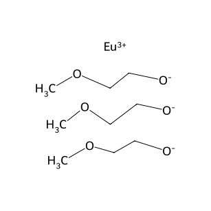 COCC[O-].COCC[O-].COCC[O-].[Eu+3]